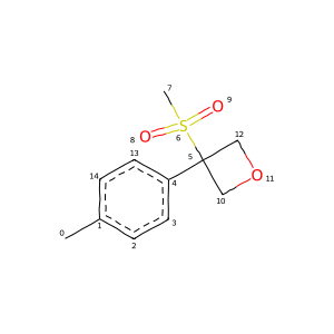 Cc1ccc(C2(S(C)(=O)=O)COC2)cc1